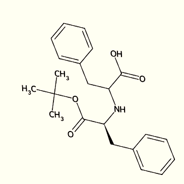 CC(C)(C)OC(=O)[C@H](Cc1ccccc1)NC(Cc1ccccc1)C(=O)O